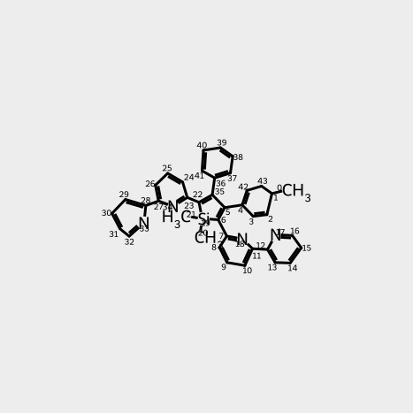 CC1C=CC(C2=C(c3cccc(-c4ccccn4)n3)[Si](C)(C)C(c3cccc(-c4ccccn4)n3)=C2c2ccccc2)=CC1